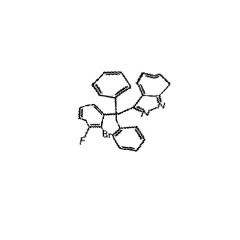 Fc1cccc(C(C2=NN=C3CC=CC=C32)(c2ccccc2)c2ccccc2)c1Br